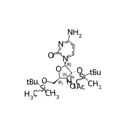 CC(=O)O[C@@H]1[C@@H](O[Si](C)(C)C(C)(C)C)[C@H](n2ccc(N)nc2=O)O[C@@H]1CO[Si](C)(C)C(C)(C)C